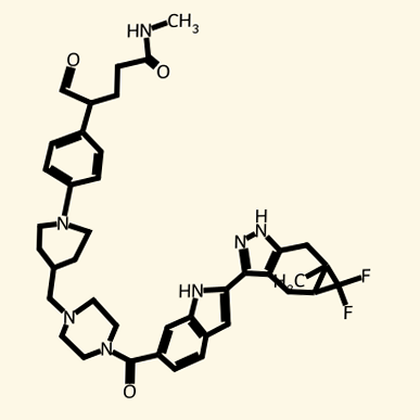 CNC(=O)CCC(C=O)c1ccc(N2CCC(CN3CCN(C(=O)c4ccc5cc(-c6n[nH]c7c6CC6C(F)(F)C6(C)C7)[nH]c5c4)CC3)CC2)cc1